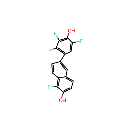 Oc1ccc2cc(-c3cc(F)c(O)c(F)c3F)ccc2c1F